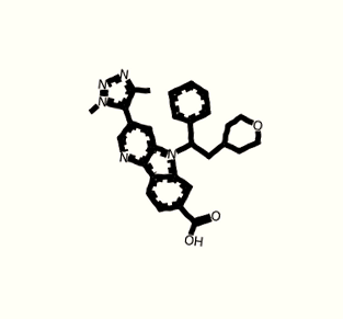 Cc1nnn(C)c1-c1cnc2c3ccc(C(=O)O)cc3n(C(CC3CCOCC3)c3ccccc3)c2c1